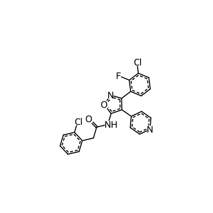 O=C(Cc1ccccc1Cl)Nc1onc(-c2cccc(Cl)c2F)c1-c1ccncc1